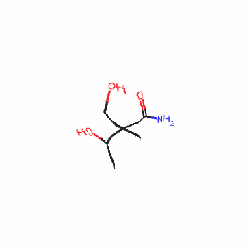 CC(O)C(C)(CO)C(N)=O